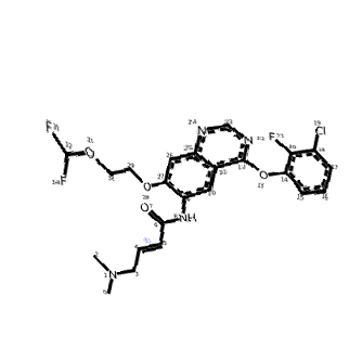 CN(C)C/C=C/C(=O)Nc1cc2c(Oc3cccc(Cl)c3F)ncnc2cc1OCCOC(F)F